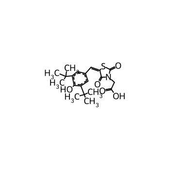 CC(C)(C)c1cc(C=C2SC(=O)N(CC(=O)O)C2=O)cc(C(C)(C)C)c1O